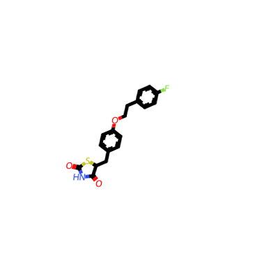 O=C1NC(=O)C(Cc2ccc(OCCc3ccc(F)cc3)cc2)S1